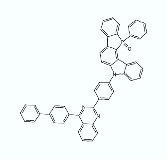 O=P1(c2ccccc2)c2ccccc2-c2ccc3c(c21)c1ccccc1n3-c1ccc(-c2nc(-c3ccc(-c4ccccc4)cc3)c3ccccc3n2)cc1